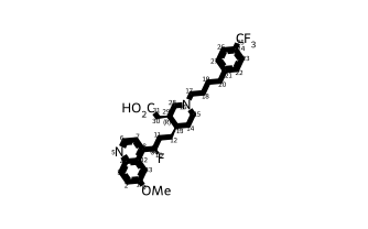 COc1ccc2nccc([C@H](F)CC[C@@H]3CCN(CCCCc4ccc(C(F)(F)F)cc4)C[C@@H]3CC(=O)O)c2c1